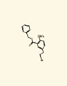 COc1ccc(CCBr)cc1C(=O)OCc1ccccc1